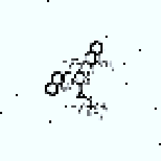 CNC(=O)[C@@H](Cc1ccccc1)N(C)C(=O)[C@@H](Cc1ccc2ccccc2c1)N(C)C(=O)C1CC1CC(C)(C)N